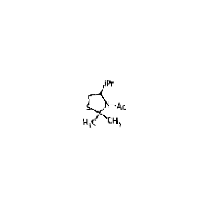 CC(=O)N1C(C(C)C)CSC1(C)C